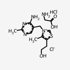 Cc1ncc(C[n+]2csc(CCO)c2C)c(N)n1.Cl.NCC(=O)O.[Cl-]